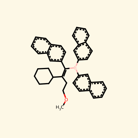 COCC/C(=C(\B(c1ccc2ccccc2c1)c1ccc2ccccc2c1)c1ccc2ccccc2c1)C1CCCCC1